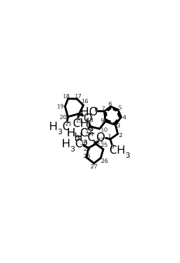 CC(Cc1cccc(O)c1CC(C)OC1(C)CCCCC1C)OC1(C)CCCCC1C